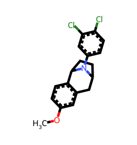 COc1ccc2c(c1)CC1CCC2N1c1ccc(Cl)c(Cl)c1